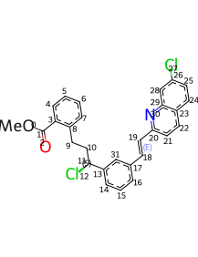 COC(=O)c1ccccc1CC[C@H](Cl)c1cccc(/C=C/c2ccc3ccc(Cl)cc3n2)c1